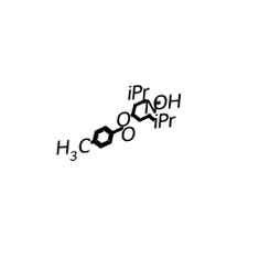 Cc1ccc(C(=O)OC2CC(C(C)C)N(O)C(C(C)C)C2)cc1